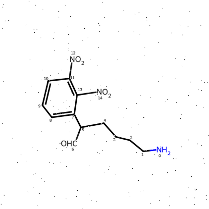 NCCCCC([C]=O)c1cccc([N+](=O)[O-])c1[N+](=O)[O-]